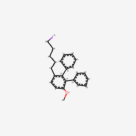 COc1ccc(CCCCCI)c(-c2ccccc2)c1-c1ccccc1